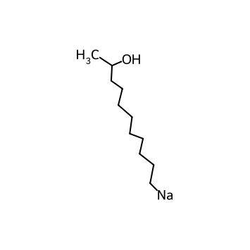 CC(O)CCCCCCCC[CH2][Na]